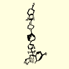 Cn1c(N2CCN(c3ccc(-c4ccc(C(F)(F)[C@](O)(Cn5cnnn5)c5ccc(F)cc5F)nc4)cc3)CC2)nc2cc(C#N)ccc21